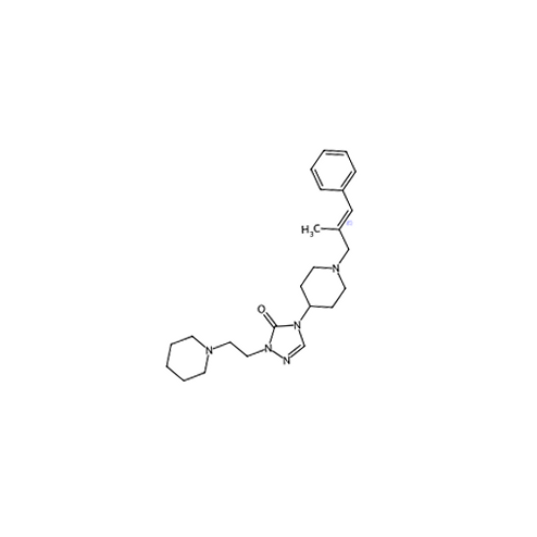 C/C(=C\c1ccccc1)CN1CCC(n2cnn(CCN3CCCCC3)c2=O)CC1